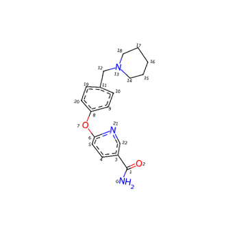 NC(=O)c1ccc(Oc2ccc(CN3CCCCC3)cc2)nc1